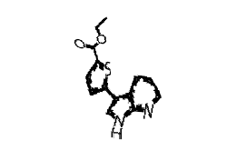 CCOC(=O)c1ccc(-c2c[nH]c3ncccc23)s1